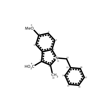 COc1ccc2c(c1)c(C(=O)O)c(C)n2Cc1ccccc1